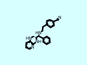 N#Cc1ccc(CCN[C@@H](c2ccccc2)[C@H]2CNc3cccnc3N2)cc1